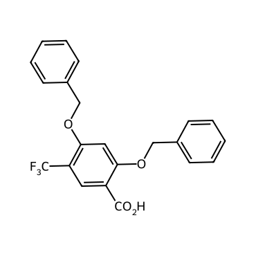 O=C(O)c1cc(C(F)(F)F)c(OCc2ccccc2)cc1OCc1ccccc1